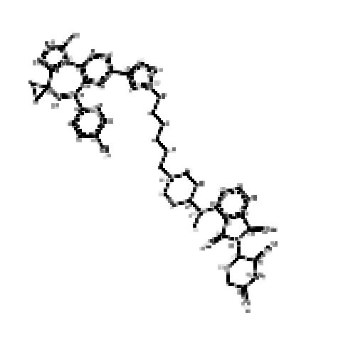 Cc1nnc2n1-c1ccc(-c3cnn(CCCCCCN4CCC(N(C)c5cccc6c5C(=O)N(C5CCC(=O)NC5=O)C6=O)CC4)c3)cc1C(c1ccc(Cl)cc1)=NC21CC1